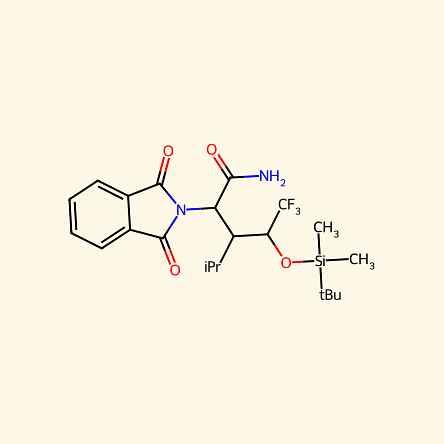 CC(C)C(C(C(N)=O)N1C(=O)c2ccccc2C1=O)C(O[Si](C)(C)C(C)(C)C)C(F)(F)F